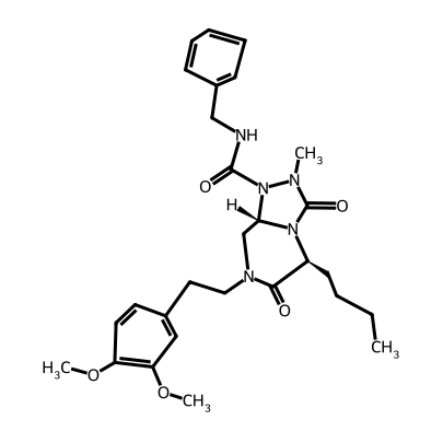 CCCC[C@H]1C(=O)N(CCc2ccc(OC)c(OC)c2)C[C@H]2N1C(=O)N(C)N2C(=O)NCc1ccccc1